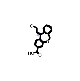 O=C(O)c1ccc2c(c1)OCc1ccccc1/C2=C\CCl